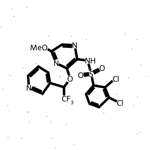 COc1cnc(NS(=O)(=O)c2cccc(Cl)c2Cl)c(OC(c2cccnc2)C(F)(F)F)n1